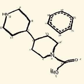 COC(=O)N1CCC(C2CCNCC2)CC1.c1ccccc1